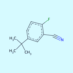 CC(C)(C)c1ccc(F)c(C#N)c1